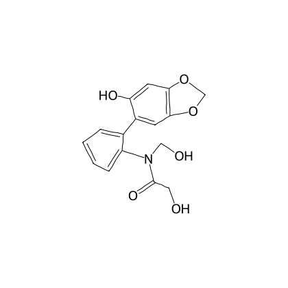 O=C(CO)N(CO)c1ccccc1-c1cc2c(cc1O)OCO2